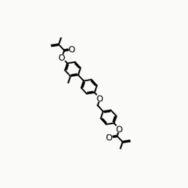 C=C(C)C(=O)Oc1ccc(COc2ccc(-c3ccc(OC(=O)C(=C)C)cc3C)cc2)cc1